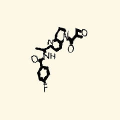 CC(NC(=O)c1ccc(F)cc1)c1ccc2c(n1)CCCN2C(=O)C1COC1